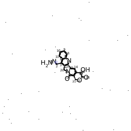 N/N=C/c1c2c(nc3ccccc13)-c1cc3c(c(=O)n1C2)COC(=O)[C@H]3O